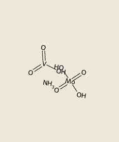 N.[O]=[Mo](=[O])([OH])[OH].[O]=[V](=[O])[OH]